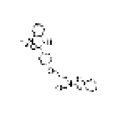 Nc1ccccc1NC(=O)c1ccc(OCCCN(C=O)c2cc3ccccc3o2)cc1